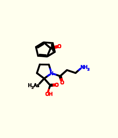 NCCC(=O)N1CCCC1([AsH2])C(=O)O.O=C1C2=CC=C1C=C2